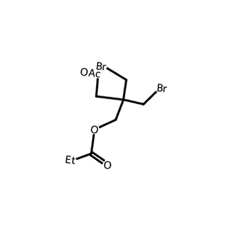 CCC(=O)OCC(CBr)(CBr)COC(C)=O